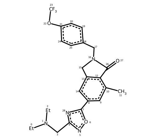 CCN(CC)Cc1noc(-c2cc(C)c3c(c2)CN(Cc2ccc(OC(F)(F)F)cc2)C3=O)n1